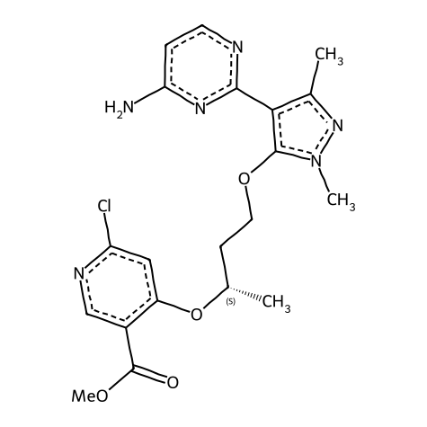 COC(=O)c1cnc(Cl)cc1O[C@@H](C)CCOc1c(-c2nccc(N)n2)c(C)nn1C